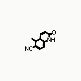 CC1C(C#N)=CC=C2NC(=O)C=CC21